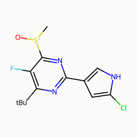 C[S+]([O-])c1nc(-c2c[nH]c(Cl)c2)nc(C(C)(C)C)c1F